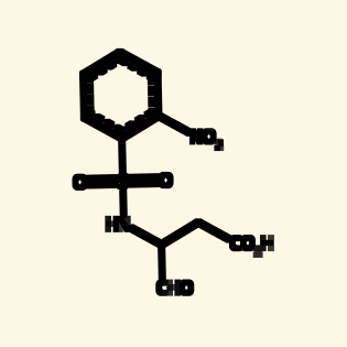 O=CC(CC(=O)O)NS(=O)(=O)c1ccccc1[N+](=O)[O-]